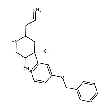 C=CCC1C[C@@](C)(c2cccc(OCc3ccccc3)c2)C(C)CN1